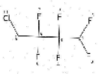 F[C](F)C(F)(F)C(F)(F)[CH]Cl